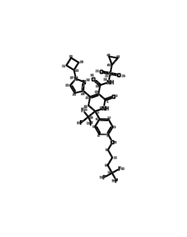 O=C1NC(c2ccc(OCCCC(F)(F)F)cc2)(C(F)(F)F)CC(c2ccn(C3CCC3)n2)=C1C(=O)NS(=O)(=O)C1CC1